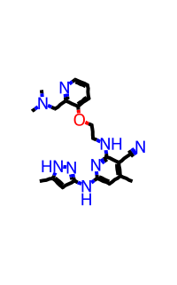 Cc1cc(Nc2cc(C)c(C#N)c(NCCOc3cccnc3CN(C)C)n2)n[nH]1